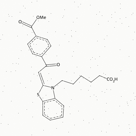 COC(=O)c1ccc(C(=O)/C=C2/Sc3ccccc3N2CCCCCC(=O)O)cc1